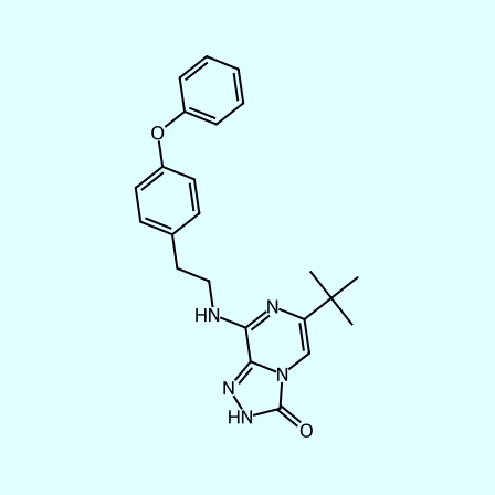 CC(C)(C)c1cn2c(=O)[nH]nc2c(NCCc2ccc(Oc3ccccc3)cc2)n1